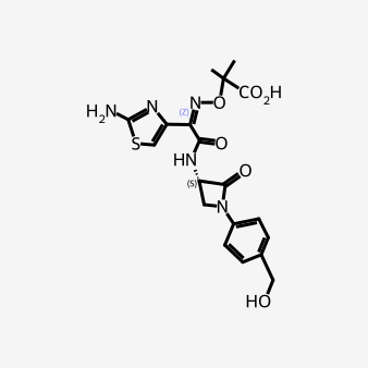 CC(C)(O/N=C(\C(=O)N[C@H]1CN(c2ccc(CO)cc2)C1=O)c1csc(N)n1)C(=O)O